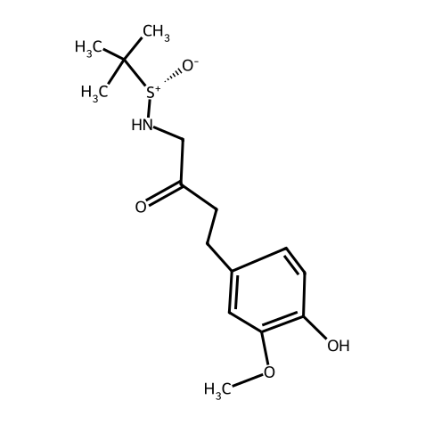 COc1cc(CCC(=O)CN[S@@+]([O-])C(C)(C)C)ccc1O